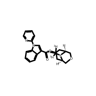 [2H]C([2H])([2H])N1[C@@H]2COC[C@H]1C[C@@H](OC(=O)c1cn(-c3ccccn3)c3ccccc13)C2